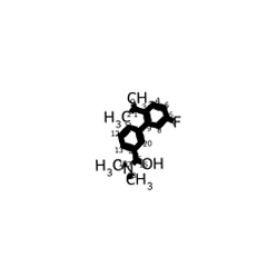 CC(C)c1ccc(F)cc1-c1cccc(C(O)N(C)C)c1